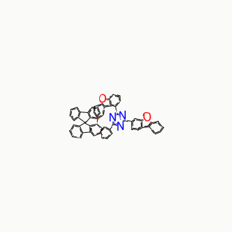 c1ccc(-c2nc(-c3ccc4c(c3)oc3ccccc34)nc(-c3cccc4oc5ccc(-c6cccc7c6C6(c8ccccc8-c8ccccc86)c6ccccc6-7)cc5c34)n2)cc1